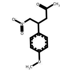 COc1ccc(C(CC(C)=O)C[N+](=O)[O-])cc1